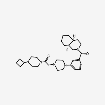 O=C(CN1CCN(c2cccc(C(=O)N3CC[C@@H]4CCCC[C@@H]4C3)c2)CC1)N1CCN(C2CCC2)CC1